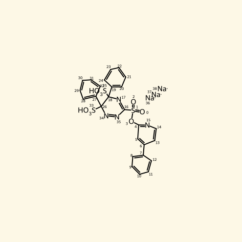 O=S(=O)(Oc1cc(-c2ccccc2)ccn1)C1=NC(c2ccccc2)(S(=O)(=O)O)C(c2ccccc2)(S(=O)(=O)O)N=N1.[Na].[Na].[Na]